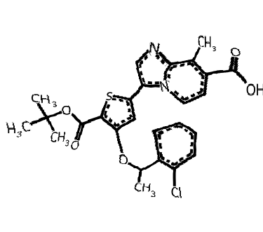 Cc1c(C(=O)O)ccn2c(-c3cc(OC(C)c4ccccc4Cl)c(C(=O)OC(C)(C)C)s3)cnc12